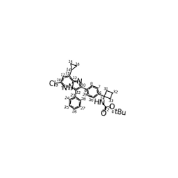 CC(C)(C)OC(=O)NC1(c2ccc(-c3nc4c(C5CC5)cc(Cl)nn4c3-c3ccccc3)cc2)CCC1